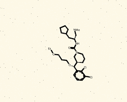 CCOCCCO[C@@H](c1cccc(Cl)c1Cl)[C@@H]1CCCN(C(=O)N[C@H](CNC)CC2CCCC2)C1